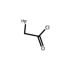 O=C(Cl)C[18F]